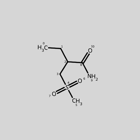 CCC(CS(C)(=O)=O)C(N)=O